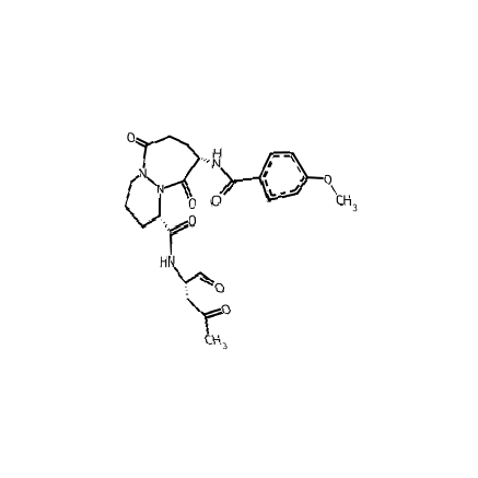 COc1ccc(C(=O)N[C@H]2CCC(=O)N3CCC[C@@H](C(=O)N[C@H](C=O)CC(C)=O)N3C2=O)cc1